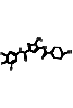 Cn1nc(C(=O)Nc2cc(F)c(F)c(F)c2)cc1NC(=O)N1CCC(O)CC1